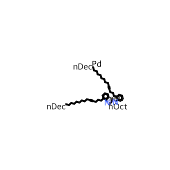 CCCCCCCCCCCCCCCCCCCC#CCCCc1ccccc1/N=C(CCCCCCCC)\C(CCCC)=N\c1ccccc1CCCC#CCCCCCCCCCCCCCCCCCCC.[Pd]